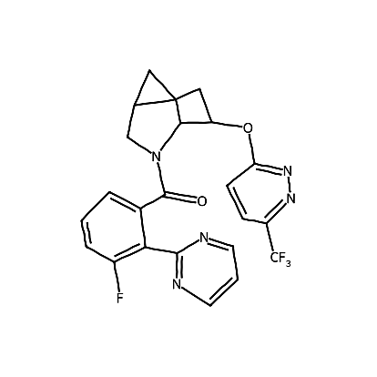 O=C(c1cccc(F)c1-c1ncccn1)N1CC2CC23CC(Oc2ccc(C(F)(F)F)nn2)C13